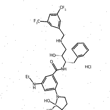 CCNc1cc(C(=O)N[C@@H](Cc2ccccc2)[C@H](O)CNCc2cc(C(F)(F)F)cc(C(F)(F)F)c2)cc(N2CCCS2(O)O)c1.Cl